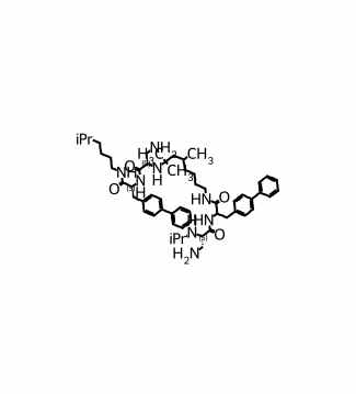 CC(C)CCCCNC(=O)[C@H](Cc1ccc(-c2ccccc2)cc1)NC(=O)[C@@H](CN)NC(C)(C)CC(C)CCCCNC(=O)C(Cc1ccc(-c2ccccc2)cc1)NC(=O)[C@H](CN)NC(C)C